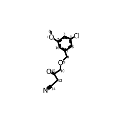 COc1cc(Cl)cc(COCC(=O)CC#N)c1